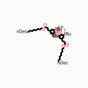 CCCCCCCCCCCCCCCCCCOC(=O)CCc1cc(C(C)(C)C)c(OP(Oc2c(C(C)(C)C)cc(CCC(=O)OCCCCCCCCCCCCCCCCCC)cc2C(C)(C)C)OC(F)(F)F)c(C(C)(C)C)c1